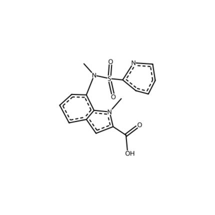 CN(c1cccc2cc(C(=O)O)n(C)c12)S(=O)(=O)c1ccccn1